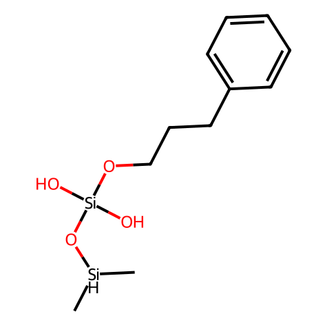 C[SiH](C)O[Si](O)(O)OCCCc1ccccc1